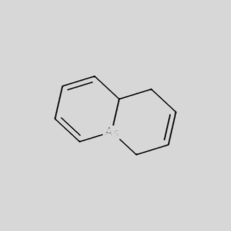 [CH]1C=CC[As]2C=CC=CC12